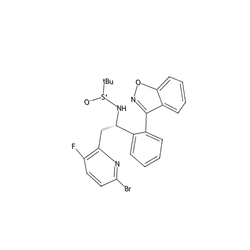 CC(C)(C)[S+]([O-])N[C@@H](Cc1nc(Br)ccc1F)c1ccccc1-c1noc2ccccc12